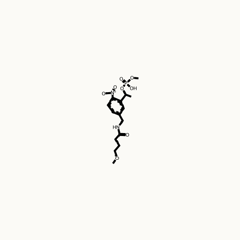 COCCCC(=O)NCc1ccc([N+](=O)[O-])c(C(C)OP(=O)(O)OC)c1